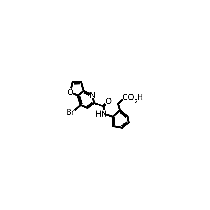 O=C(O)Cc1ccccc1NC(=O)c1cc(Br)c2occc2n1